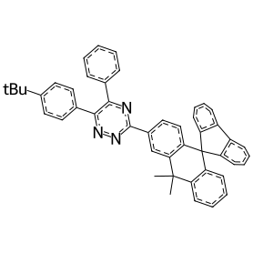 CC(C)(C)c1ccc(-c2nnc(-c3ccc4c(c3)C(C)(C)c3ccccc3C43c4ccccc4-c4ccccc43)nc2-c2ccccc2)cc1